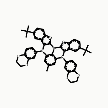 Cc1cc2c3c(c1)N(c1ccc4c(c1)OCCO4)c1c(oc4ccc(C(C)(C)C)cc14)B3c1oc3ccc(C(C)(C)C)cc3c1N2c1ccc2c(c1)OCCO2